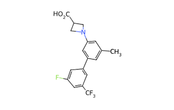 Cc1cc(-c2cc(F)cc(C(F)(F)F)c2)cc(N2CC(C(=O)O)C2)c1